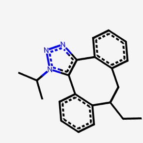 CCC1Cc2ccccc2-c2nnn(C(C)C)c2-c2ccccc21